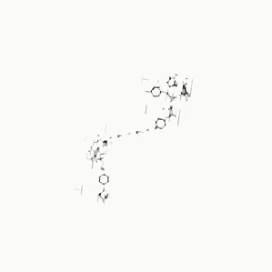 Cc1ncsc1-c1ccc(CNC(=O)[C@@H]2CCCN2C(=O)C(NC(=O)COCCCOCCCOc2ccc(C(C)(C)NC(=O)C[C@@H]3N=C(c4ccc(Cl)cc4)c4c(sc(C)c4C)-n4c(C)nnc43)cc2)C(C)(C)C)cc1